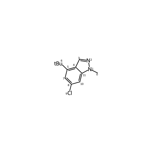 Cn1ncc2c(C(C)(C)C)cc(Cl)cc21